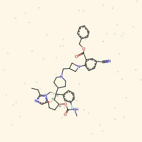 CCc1nccn1C[C@@](c1cccc(F)c1)(C1CCN(CC2CN(c3ccc(C#N)cc3C(=O)OCc3ccccc3)C2)CC1)[C@H]1CCC[C@@H]1OC(=O)NC